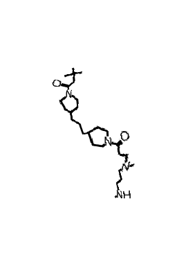 CNCCCN(C)CCC(=O)N1CCC(CCCC2CCN(C(=O)CC(C)(C)C)CC2)CC1